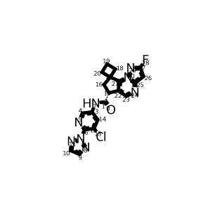 O=C(Nc1cnc(-n2nccn2)c(Cl)c1)[C@@H]1CC2(CCC2)c2c1cnc1cc(F)nn21